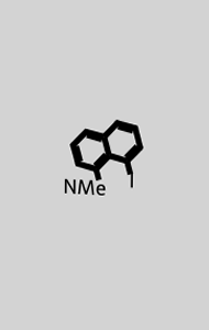 CNc1cccc2cccc(I)c12